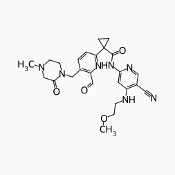 COCCNc1cc(NC(=O)C2(c3ccc(CN4CCN(C)CC4=O)c(C=O)n3)CC2)ncc1C#N